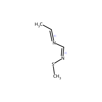 C/C=N/C=N\SC